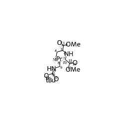 COC(=O)C(CC(C)C)N[C@@H](CCNC(=O)OC(C)(C)C)C(=O)OC